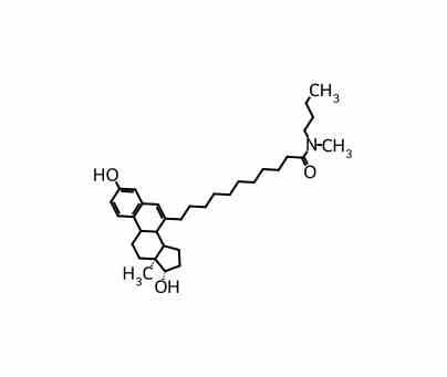 CCCCN(C)C(=O)CCCCCCCCCCC1=Cc2cc(O)ccc2C2CC[C@@]3(C)C(CC[C@@H]3O)C12